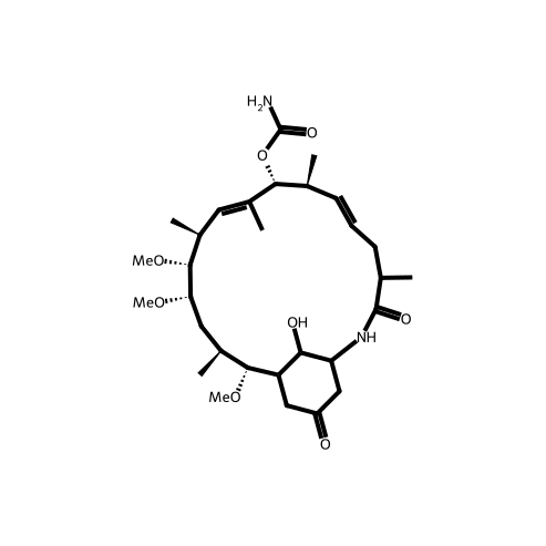 CO[C@H]1[C@@H](OC)C[C@H](C)[C@@H](OC)C2CC(=O)CC(NC(=O)C(C)C/C=C/[C@H](C)[C@@H](OC(N)=O)/C(C)=C/[C@@H]1C)C2O